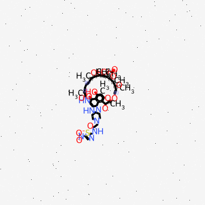 CO[C@H]1/C=C/O[C@@]2(C)Oc3c(C)c(O)c4c(c3C2=O)C2=NC3(CCN(CC(=O)Nc5ncc([N+](=O)[O-])s5)CC3)NC2=C(NC(=O)/C(C)=C\C=C\[C@H](C)[C@H](O)[C@@H](C)[C@@H](O)[C@@H](C)[C@H](OC(C)=O)[C@@H]1C)C4=O